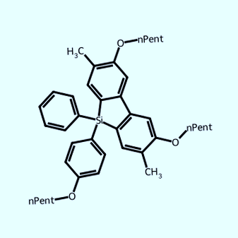 CCCCCOc1ccc([Si]2(c3ccccc3)c3cc(C)c(OCCCCC)cc3-c3cc(OCCCCC)c(C)cc32)cc1